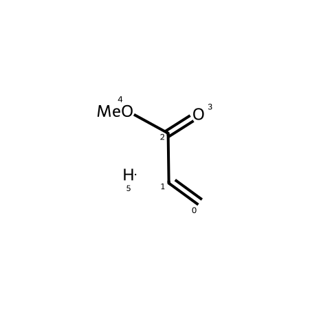 C=CC(=O)OC.[H]